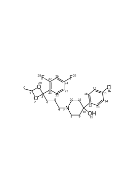 CC1OC(CCCN2CCC(O)(c3ccc(Cl)cc3)CC2)(c2ccc(F)cc2F)O1